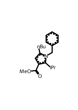 CCCCc1cc(C(=O)OC)c(C(C)C)n1Cc1ccccc1